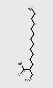 CCCCCCCCCCCCC(CC)C(C)O